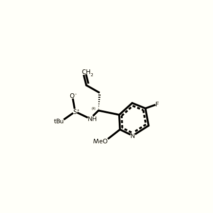 C=CC[C@@H](N[S+]([O-])C(C)(C)C)c1cc(F)cnc1OC